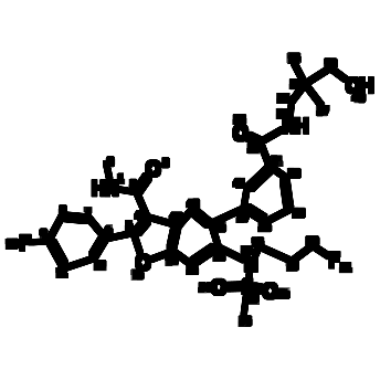 CNC(=O)c1c(-c2ccc(F)cc2)oc2cc(N(CCCF)S(C)(=O)=O)c(-c3cccc(C(=O)NCC(C)(C)CO)c3)cc12